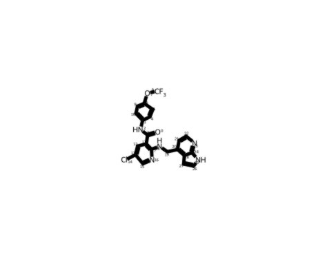 O=C(Nc1ccc(OC(F)(F)F)cc1)c1cc(Cl)cnc1NCc1ccnc2[nH]ccc12